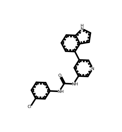 O=C(Nc1cccc(Cl)c1)Nc1cncc(-c2cccc3[nH]ccc23)c1